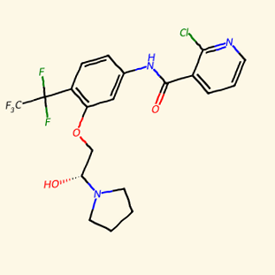 O=C(Nc1ccc(C(F)(F)C(F)(F)F)c(OC[C@@H](O)N2CCCC2)c1)c1cccnc1Cl